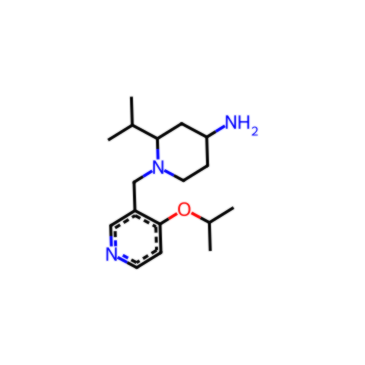 CC(C)Oc1ccncc1CN1CCC(N)CC1C(C)C